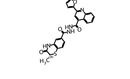 C[C@H]1Sc2ccc(C(=O)NNC(=O)c3cc(-c4ccco4)nc4ccccc34)cc2NC1=O